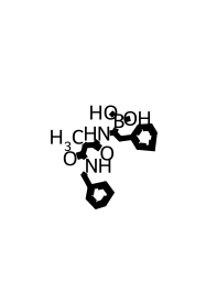 CC(C(=O)NCc1ccccc1)C(=O)NC(Cc1ccccc1)B(O)O